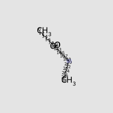 CCC=CCCCCCOC(=O)CCCCCCC/C=C\CCCCCCCC